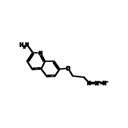 [N-]=[N+]=NCCOc1ccc2ccc(N)nc2c1